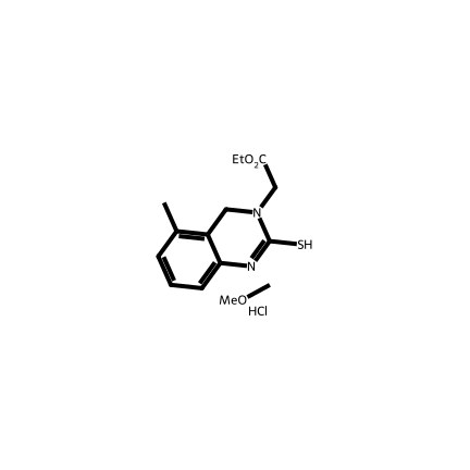 CCOC(=O)CN1Cc2c(C)cccc2N=C1S.COC.Cl